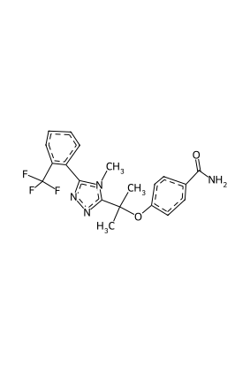 Cn1c(-c2ccccc2C(F)(F)F)nnc1C(C)(C)Oc1ccc(C(N)=O)cc1